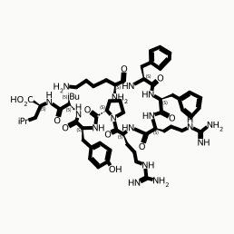 CC[C@H](C)[C@H](NC(=O)[C@H](Cc1ccc(O)cc1)NC(=O)[C@@H]1CCCN1C(=O)[C@H](CCCNC(=N)N)NC(=O)[C@H](CCCNC(=N)N)NC(=O)[C@H](Cc1ccccc1)NC(=O)[C@H](Cc1ccccc1)NC(=O)[C@@H](N)CCCCN)C(=O)N[C@@H](CC(C)C)C(=O)O